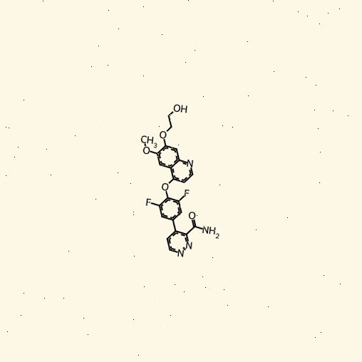 COc1cc2c(Oc3c(F)cc(-c4ccnnc4C(N)=O)cc3F)ccnc2cc1OCCO